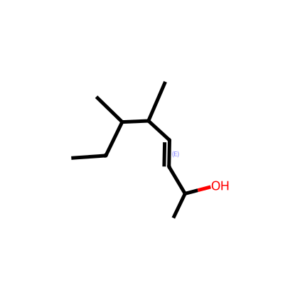 CCC(C)C(C)/C=C/C(C)O